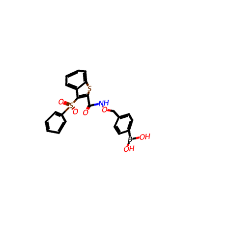 O=C(NOCc1ccc(B(O)O)cc1)c1sc2ccccc2c1S(=O)(=O)c1ccccc1